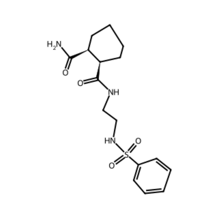 NC(=O)[C@H]1CCCC[C@H]1C(=O)NCCNS(=O)(=O)c1ccccc1